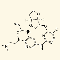 C=CC(=O)Nc1cc(Nc2ncc(Cl)c(O[C@H]3CO[C@H]4CCO[C@H]43)n2)cnc1N(C)CCN(C)C